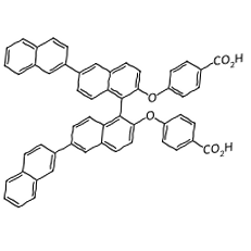 O=C(O)c1ccc(Oc2ccc3cc(-c4ccc5ccccc5c4)ccc3c2-c2c(Oc3ccc(C(=O)O)cc3)ccc3cc(-c4ccc5ccccc5c4)ccc23)cc1